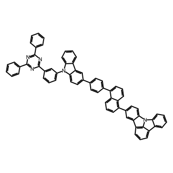 c1ccc(-c2nc(-c3ccccc3)nc(-c3cccc(-n4c5ccccc5c5cc(-c6ccc(-c7cccc8c(-c9ccc%10c(c9)c9cccc%11c%12ccccc%12n%10c%119)cccc78)cc6)ccc54)c3)n2)cc1